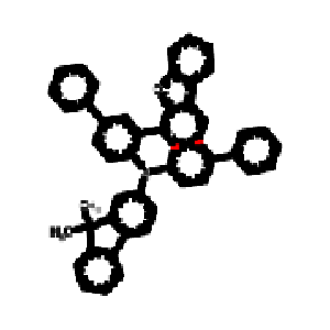 CC1(C)c2ccccc2-c2ccc(N(c3ccc(-c4ccccc4)cc3)c3ccc(-c4ccccc4)cc3-c3cccc4c3oc3ccccc34)cc21